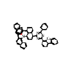 c1ccc(-c2nc(-c3ccc(-n4c5cc6ccccc6cc5c5ccc6ccccc6c54)c4c(-c5ccccc5)cccc34)nc(-c3cccc4c3oc3ccccc34)n2)cc1